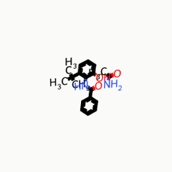 CC(C)(C)c1cccc(O)c1NC(=O)c1ccccc1.CC(N)=O